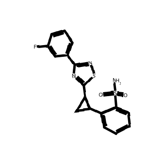 NS(=O)(=O)c1ccccc1C1CC1c1nc(-c2cccc(F)c2)ns1